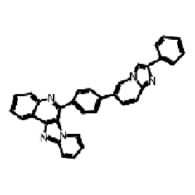 c1ccc(-c2cn3cc(-c4ccc(-c5nc6ccccc6c6nc7ccccn7c56)cc4)ccc3n2)cc1